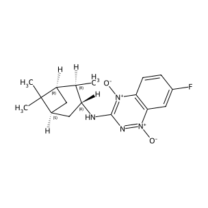 C[C@@H]1[C@H]2C[C@@H](C[C@H]1Nc1n[n+]([O-])c3cc(F)ccc3[n+]1[O-])C2(C)C